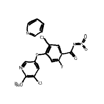 CC(C)COc1ncc(Oc2cc(F)c(C(=O)N=S(=O)=O)cc2Cl)cc1Cl.c1ccncc1